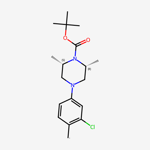 [CH2]c1ccc(N2C[C@@H](C)N(C(=O)OC(C)(C)C)[C@@H](C)C2)cc1Cl